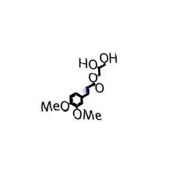 COc1ccc(/C=C/C(=O)OCC(O)CO)cc1OC